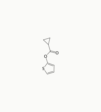 O=C(Oc1cccs1)C1CC1